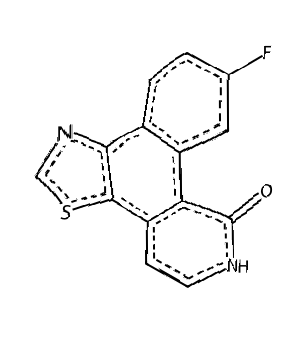 O=c1[nH]ccc2c3scnc3c3ccc(F)cc3c12